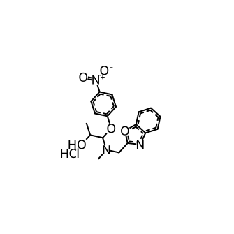 CC(O)C(Oc1ccc([N+](=O)[O-])cc1)N(C)Cc1nc2ccccc2o1.Cl